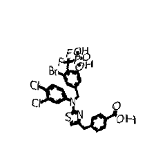 O=C(O)c1ccc(Cc2csc(N(Cc3ccc(C(F)(F)P(=O)(O)O)c(Br)c3)c3ccc(Cl)c(Cl)c3)n2)cc1